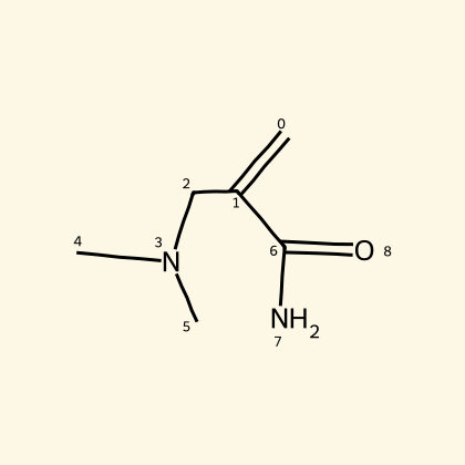 C=C(CN(C)C)C(N)=O